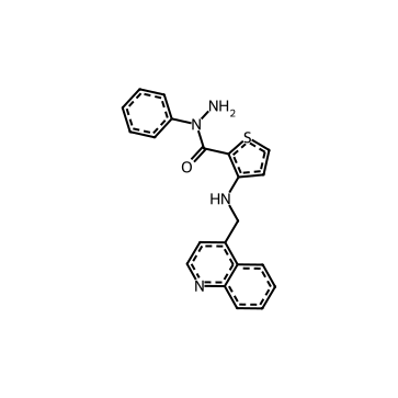 NN(C(=O)c1sccc1NCc1ccnc2ccccc12)c1ccccc1